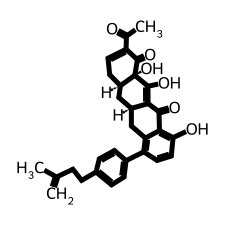 C=C(C)CCc1ccc(-c2ccc(O)c3c2C[C@H]2C[C@H]4CC=C(C(C)=O)C(=O)[C@@]4(O)C(O)=C2C3=O)cc1